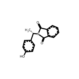 C[C@@H](c1ccc(O)cc1)N1C(=O)c2ccccc2C1=O